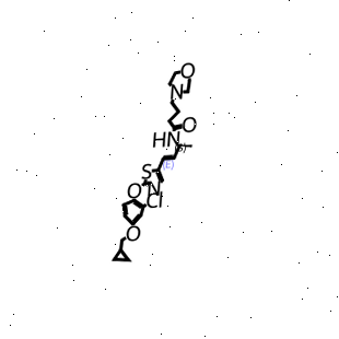 C[C@@H](/C=C/c1cnc(Oc2ccc(OCC3CC3)cc2Cl)s1)NC(=O)CCCN1CCOCC1